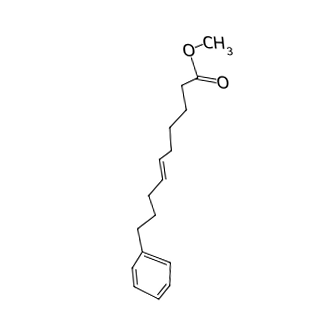 COC(=O)CCCCC=CCCCc1ccccc1